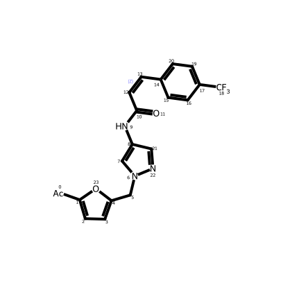 CC(=O)c1ccc(Cn2cc(NC(=O)/C=C\c3ccc(C(F)(F)F)cc3)cn2)o1